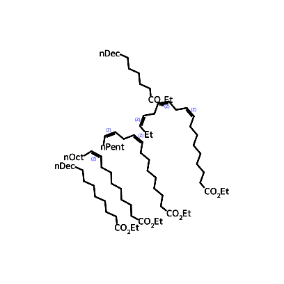 CC/C=C\C/C=C\C/C=C\CCCCCCCC(=O)OCC.CCCCC/C=C\C/C=C\CCCCCCCC(=O)OCC.CCCCCCCC/C=C\CCCCCCCC(=O)OCC.CCCCCCCCCCCCCCCC(=O)OCC.CCCCCCCCCCCCCCCCCC(=O)OCC